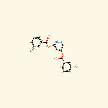 O=C(Oc1ccnc(OC(=O)c2cccc(Cl)c2)c1)c1cccc(Cl)c1